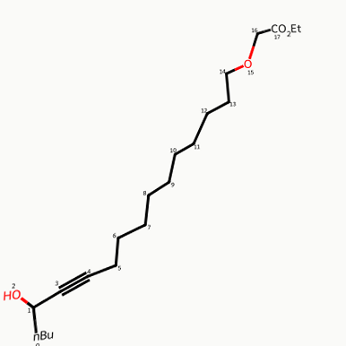 CCCCC(O)C#CCCCCCCCCCCOCC(=O)OCC